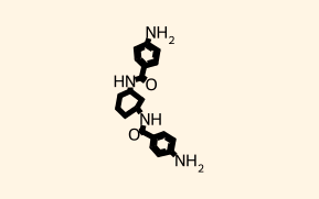 Nc1ccc(C(=O)NC2CCCC(NC(=O)c3ccc(N)cc3)C2)cc1